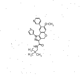 COc1cc2c(cc1-c1cccnc1)-c1c(c(C(=O)NCC(C)(C)C)nn1-c1ccsc1)CO2